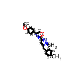 Cc1ccc(Cc2cc(-c3nc(-c4ccc(OC(F)(F)F)cc4)co3)nn2C)cc1